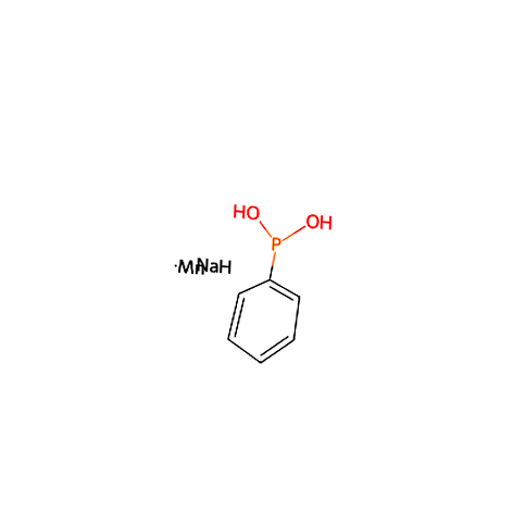 OP(O)c1ccccc1.[Mn].[NaH]